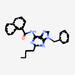 CCCCc1nc(NC(=O)c2cccc3ccccc23)c2ncn(Cc3ccccc3)c2n1